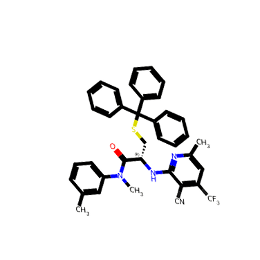 Cc1cccc(N(C)C(=O)[C@H](CSC(c2ccccc2)(c2ccccc2)c2ccccc2)Nc2nc(C)cc(C(F)(F)F)c2C#N)c1